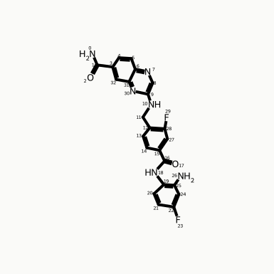 NC(=O)c1ccc2ncc(NCc3ccc(C(=O)Nc4ccc(F)cc4N)cc3F)nc2c1